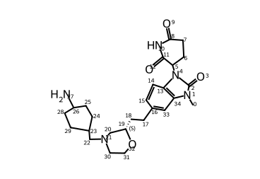 Cn1c(=O)n(C2CCC(=O)NC2=O)c2ccc(CC[C@H]3CN(CC4CCC(N)CC4)CCO3)cc21